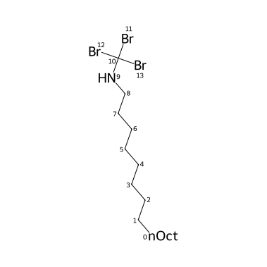 CCCCCCCCCCCCCCCCNC(Br)(Br)Br